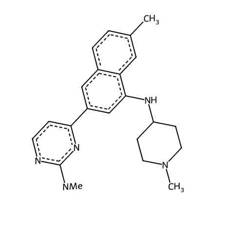 CNc1nccc(-c2cc(NC3CCN(C)CC3)c3cc(C)ccc3c2)n1